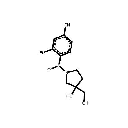 CCc1cc(C#N)ccc1[S+]([O-])N1CCC(O)(CO)C1